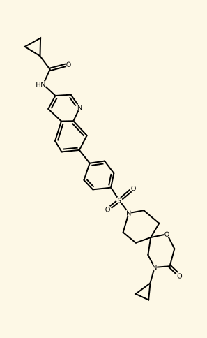 O=C(Nc1cnc2cc(-c3ccc(S(=O)(=O)N4CCC5(CC4)CN(C4CC4)C(=O)CO5)cc3)ccc2c1)C1CC1